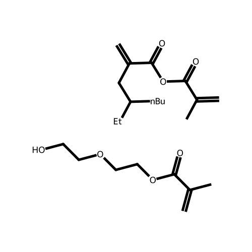 C=C(C)C(=O)OC(=O)C(=C)CC(CC)CCCC.C=C(C)C(=O)OCCOCCO